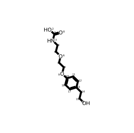 O=C(O)NCCOCCOc1ccc(CCO)cc1